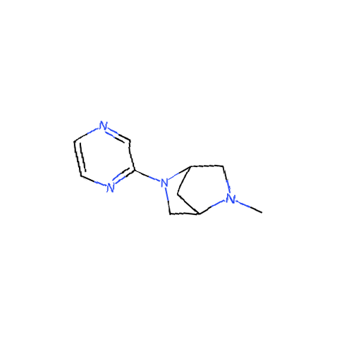 CN1CC2CC1CN2c1cnccn1